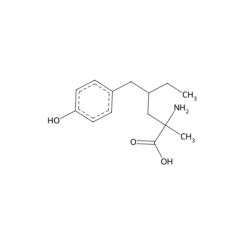 CCC(Cc1ccc(O)cc1)CC(C)(N)C(=O)O